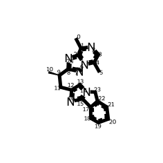 Cc1ncc(C)n2nc([C@H](C)Cc3cn4c(n3)-c3ccccc3C4)nc12